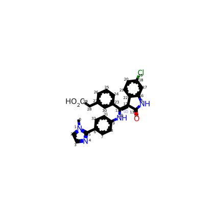 Cn1ccnc1-c1ccc(N/C(=C2\C(=O)Nc3cc(Cl)ccc32)c2cccc(CC(=O)O)c2)cc1